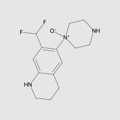 [O-][N+]1(c2cc3c(cc2C(F)F)NCCC3)CCNCC1